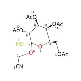 CC(=O)OC[C@H]1O[C@@](S)(OCC#N)[C@H](OC(C)=O)[C@@H](OC(C)=O)[C@H]1OC(C)=O